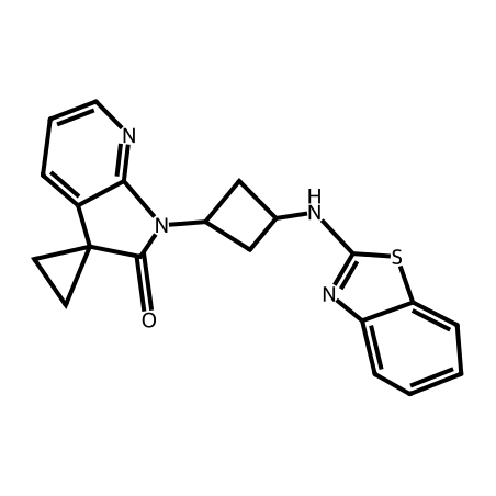 O=C1N(C2CC(Nc3nc4ccccc4s3)C2)c2ncccc2C12CC2